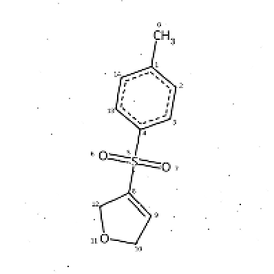 Cc1ccc(S(=O)(=O)C2=CCOC2)cc1